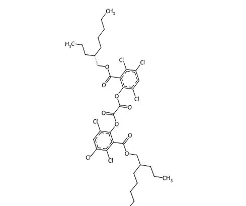 CCCCCC(CCC)COC(=O)c1c(Cl)c(Cl)cc(Cl)c1OC(=O)C(=O)Oc1c(Cl)cc(Cl)c(Cl)c1C(=O)OC[C@H](CCC)CCCCC